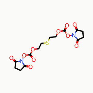 O=C(OCCSCCOC(=O)ON1C(=O)CCC1=O)ON1C(=O)CCC1=O